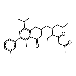 CCCC(CC1CC(=O)c2c(C)c(-c3cccc(C)c3)cc(C(C)C)c2C1)C(CC)C(=O)CC(C)=O